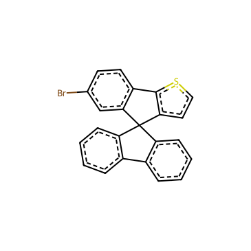 Brc1ccc2c(c1)C1(c3ccccc3-c3ccccc31)c1ccsc1-2